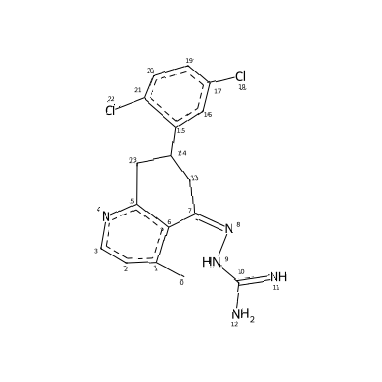 Cc1ccnc2c1/C(=N\NC(=N)N)CC(c1cc(Cl)ccc1Cl)C2